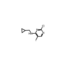 Clc1ncc(I)c(NCC2CC2)n1